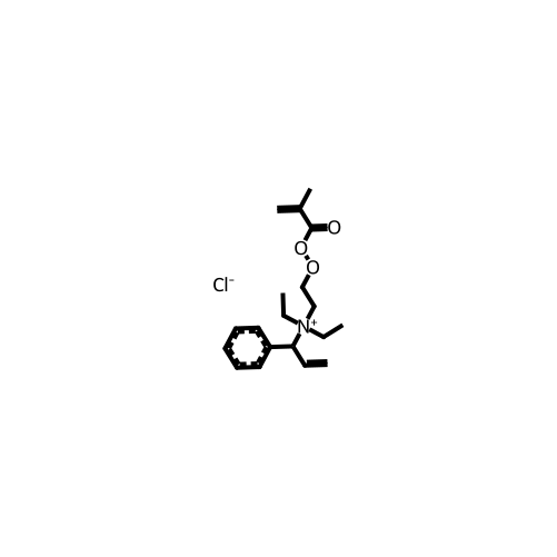 C=CC(c1ccccc1)[N+](CC)(CC)CCOOC(=O)C(=C)C.[Cl-]